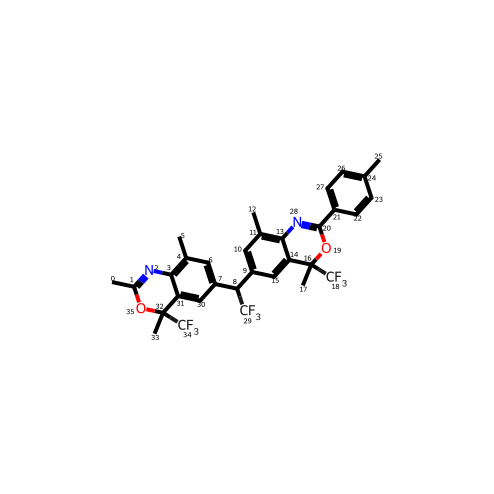 CC1=Nc2c(C)cc(C(c3cc(C)c4c(c3)C(C)(C(F)(F)F)OC(c3ccc(C)cc3)=N4)C(F)(F)F)cc2C(C)(C(F)(F)F)O1